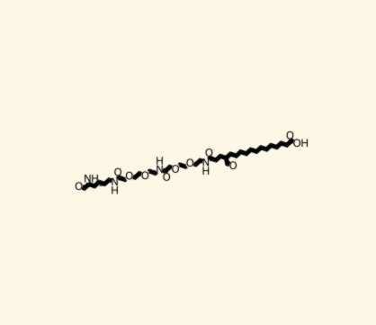 NC(C=O)CCCCNC(=O)COCCOCCNC(=O)COCCOCCNC(=O)CCC(C=O)CCCCCCCCCCCCC(=O)O